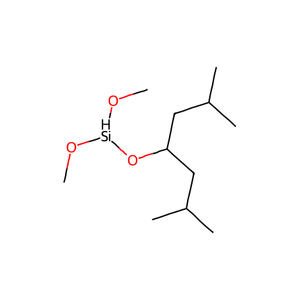 CO[SiH](OC)OC(CC(C)C)CC(C)C